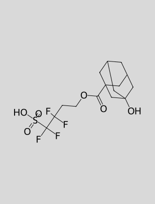 O=C(OCCC(F)(F)C(F)(F)S(=O)(=O)O)C12CC3CC(CC(O)(C3)C1)C2